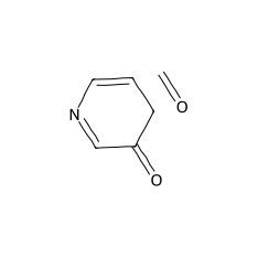 C=O.O=C1C=NC=CC1